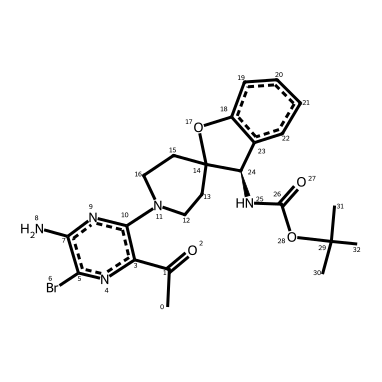 CC(=O)c1nc(Br)c(N)nc1N1CCC2(CC1)Oc1ccccc1[C@H]2NC(=O)OC(C)(C)C